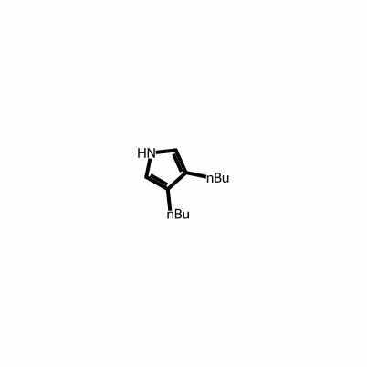 CCCCc1c[nH]cc1CCCC